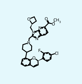 COC(=O)c1ccc2nc(CN3CCC(c4cccc5c4O[C@@H](c4ccc(Cl)cc4F)C=C5)CC3)n(C[C@@H]3CCO3)c2n1